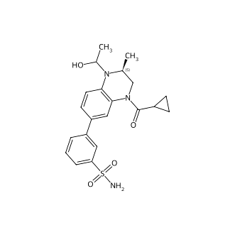 CC(O)N1c2ccc(-c3cccc(S(N)(=O)=O)c3)cc2N(C(=O)C2CC2)C[C@@H]1C